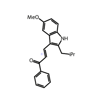 COc1ccc2[nH]c(CC(C)C)c(/C=C/C(=O)c3ccccc3)c2c1